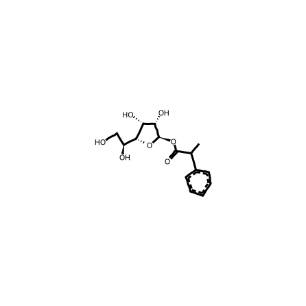 CC(C(=O)O[C@H]1O[C@H]([C@@H](O)CO)[C@H](O)[C@@H]1O)c1ccccc1